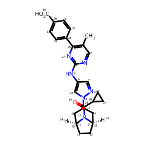 Cc1cnc(Nc2cnn(C3C[C@H]4CC[C@@H](C3)N4C(=O)C3CC3)c2)nc1-c1ccc(C(=O)O)cc1